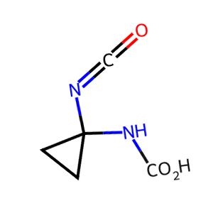 O=C=NC1(NC(=O)O)CC1